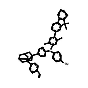 C=Cc1ccc(C23CC4CC(C2)CC(c2ccc(N(c5ccc(CCCC)cc5)c5cc(C)c(-c6ccc7c(c6)C(C)(C)c6ccccc6-7)cc5C)cc2)(C4)C3)cc1